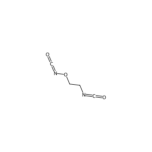 O=C=NCCON=C=O